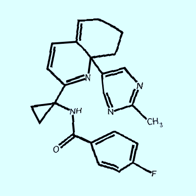 Cc1ncc(C23CCCC=C2C=CC(C2(NC(=O)c4ccc(F)cc4)CC2)=N3)cn1